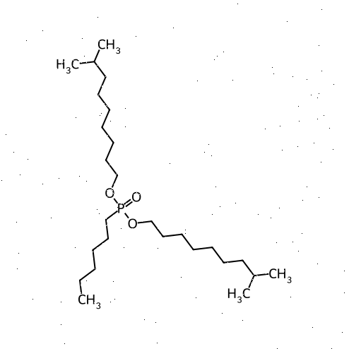 CCCCCCP(=O)(OCCCCCCCC(C)C)OCCCCCCCC(C)C